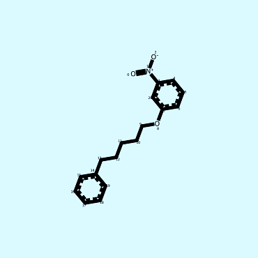 O=[N+]([O-])c1cccc(OCCCCCc2ccccc2)c1